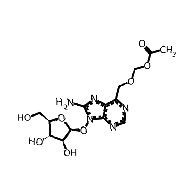 CC(=O)OCOCc1ncnc2c1nc(N)n2O[C@@H]1O[C@H](CO)[C@@H](O)[C@@H]1O